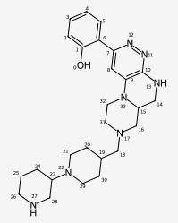 Oc1ccccc1-c1cc2c(nn1)NCC1CN(CC3CCN(C4CCCNC4)CC3)CCN21